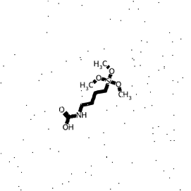 CO[Si](CCCCNC(=O)O)(OC)OC